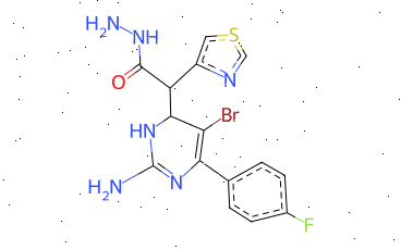 NNC(=O)C(c1cscn1)C1NC(N)=NC(c2ccc(F)cc2)=C1Br